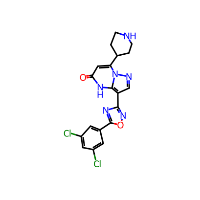 O=c1cc(C2CCNCC2)n2ncc(-c3noc(-c4cc(Cl)cc(Cl)c4)n3)c2[nH]1